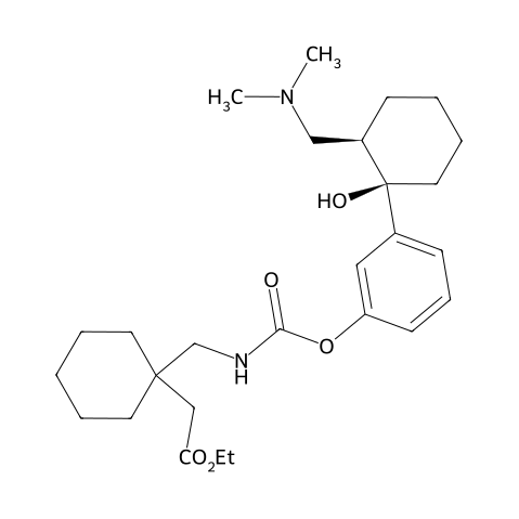 CCOC(=O)CC1(CNC(=O)Oc2cccc([C@@]3(O)CCCC[C@@H]3CN(C)C)c2)CCCCC1